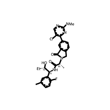 CC[C@H](O)[C@@H](NC(=O)[C@@H](C)N1Cc2ccc(-c3nc(NC)ncc3Cl)cc2C1=O)c1cc(C)ccc1F